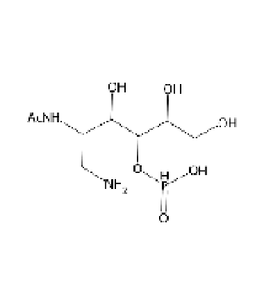 CC(=O)NC(CN)C(O)C(O[PH](=O)O)C(O)CO